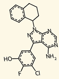 Nc1ncnc2c1c(-c1cc(O)c(F)c(Cl)c1)nn2C1CCCc2ccccc21